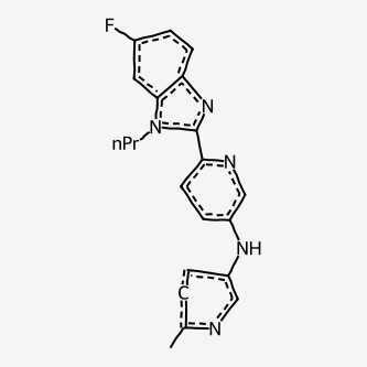 CCCn1c(-c2ccc(Nc3ccc(C)nc3)cn2)nc2ccc(F)cc21